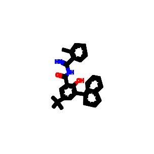 Cc1ccccc1C(=N)NC(=O)c1cc(C(C)(C)C)cc(-c2cccc3ccccc23)c1O